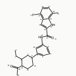 CCC1CN(c2cccc(NC(=O)c3cc4c(F)ccc(C)c4[nH]3)c2)CCN1C(C)=O